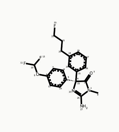 CN1C(=O)[C@](c2ccc(OC(F)F)cc2)(c2cccc(CCCF)c2)N=C1N